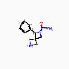 NC(=O)N1CC2(CNC2)C1c1ccccc1